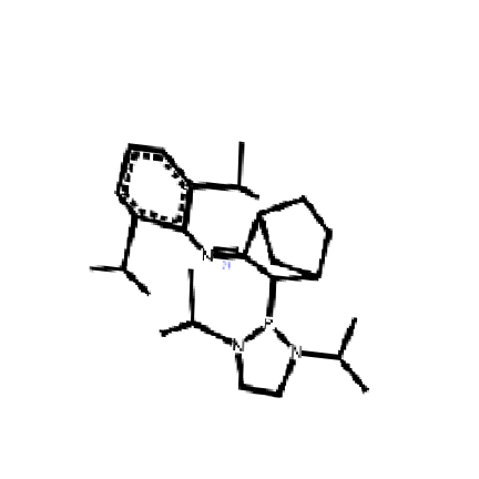 CC(C)c1cccc(C(C)C)c1/N=C1\C2CCC(C2)C1P1N(C(C)C)CCN1C(C)C